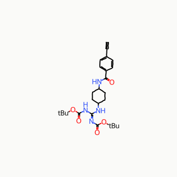 C#Cc1ccc(C(=O)NC2CCC(NC(=NC(=O)OC(C)(C)C)NC(=O)OC(C)(C)C)CC2)cc1